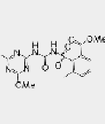 COC(=O)c1cccc(C)c1S(=O)(=O)NC(=O)Nc1nc(C)nc(OC)n1